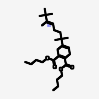 CCCCOC(=O)C1=C(C(=O)OCCCC)CC(C(C)(C)CC/C=C(\C)C(C)(C)C)=CC1